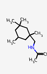 C=C(C)NCC1(C)CC(C)CC(C)(C)C1